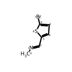 CN=Cc1ccc(Br)s1